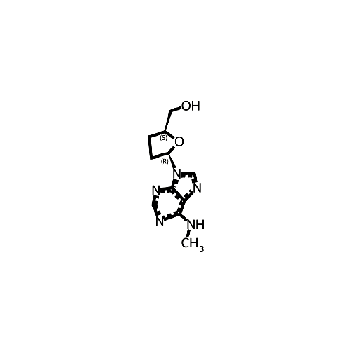 CNc1ncnc2c1ncn2[C@H]1CC[C@@H](CO)O1